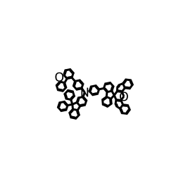 c1ccc(C2(c3ccccc3)c3ccccc3-c3ccc(N(c4ccc(-c5cccc6c5-c5ccccc5C65c6ccc7ccccc7c6Oc6c5ccc5ccccc65)cc4)c4ccc(-c5cccc6oc7ccccc7c56)cc4)cc32)cc1